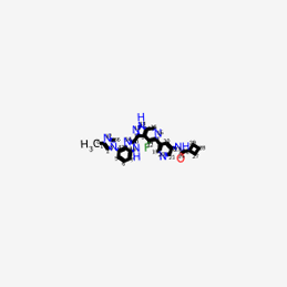 Cc1cn(-c2cccc3[nH]c(-c4n[nH]c5cnc(-c6cncc(NC(=O)C7CCC7)c6)c(F)c45)nc23)cn1